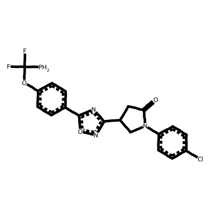 O=C1CC(c2noc(-c3ccc(OC(F)(F)P)cc3)n2)CN1c1ccc(Cl)cc1